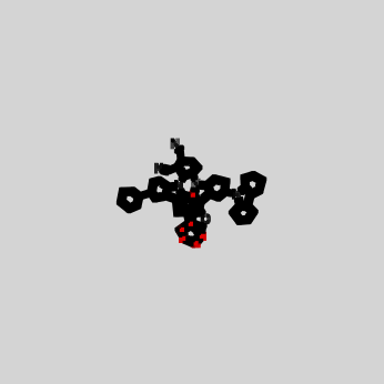 N#Cc1ccc(-n2c3ccc(-n4c5ccccc5c5ccccc54)cc3c3c4oc5ccccc5c4ccc32)c(-n2c3ccc(-c4ccccc4)cc3c3cc(-c4ccccc4)ccc32)c1C#N